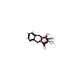 CCc1ccc2c(c1)C1c3ccccc3C2C2C(=O)N(C)C(=O)C12